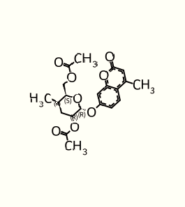 CC(=O)OC[C@H]1O[C@H](Oc2ccc3c(C)cc(=O)oc3c2)[C@H](OC(C)=O)C[C@H]1C